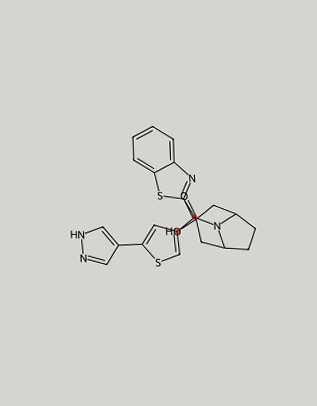 O=C(c1csc(-c2cn[nH]c2)c1)N1C2CCC1CC(O)(c1nc3ccccc3s1)C2